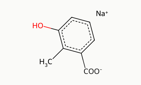 Cc1c(O)cccc1C(=O)[O-].[Na+]